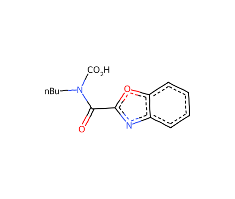 CCCCN(C(=O)O)C(=O)c1nc2ccccc2o1